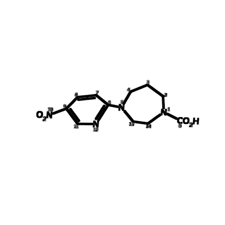 O=C(O)N1CCCN(c2ccc([N+](=O)[O-])cn2)CC1